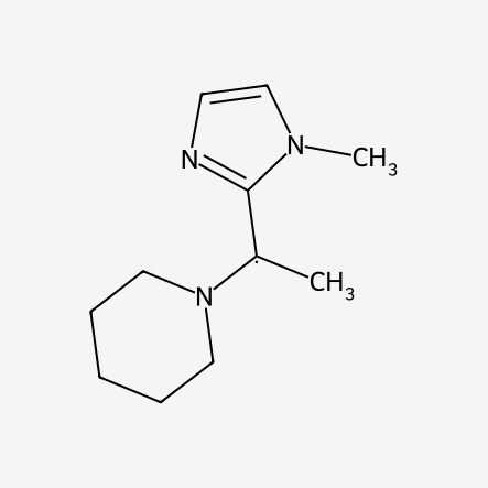 C[C](c1nccn1C)N1CCCCC1